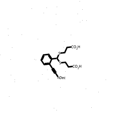 CCCCCCCCCCC#Cc1ccccc1C(SCCC(=O)O)SCCC(=O)O